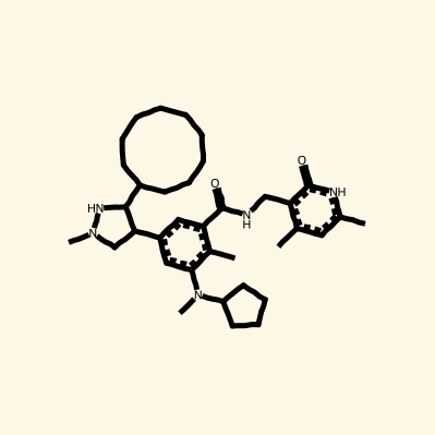 Cc1cc(C)c(CNC(=O)c2cc(C3CN(C)NC3C3CCCCCCCCC3)cc(N(C)C3CCCC3)c2C)c(=O)[nH]1